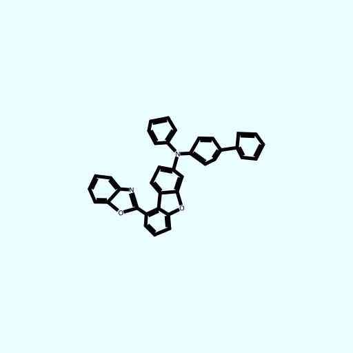 c1ccc(-c2ccc(N(c3ccccc3)c3ccc4c(c3)oc3cccc(-c5nc6ccccc6o5)c34)cc2)cc1